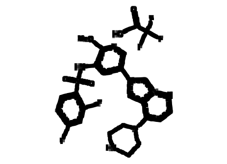 COc1ncc(-c2cc3c(N4CCNCC4)ccnn3c2)cc1NS(=O)(=O)c1ccc(F)cc1F.O=C(O)C(F)(F)F